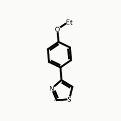 CCOc1ccc(-c2cs[c]n2)cc1